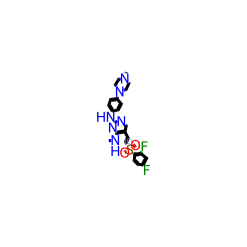 CNc1nc(Nc2ccc(N3CCN(C)CC3)cc2)ncc1/C=C/S(=O)(=O)c1ccc(F)cc1F